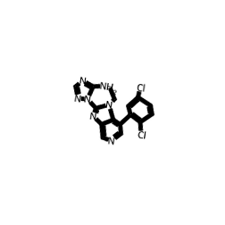 CCn1c(-n2ncnc2N)nc2cncc(-c3cc(Cl)ccc3Cl)c21